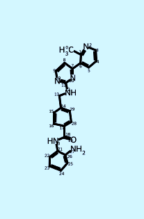 Cc1ncccc1-c1ccnc(NCc2ccc(C(=O)Nc3ccccc3N)cc2)n1